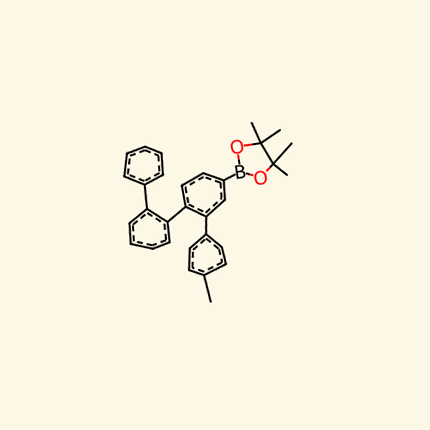 Cc1ccc(-c2cc(B3OC(C)(C)C(C)(C)O3)ccc2-c2ccccc2-c2ccccc2)cc1